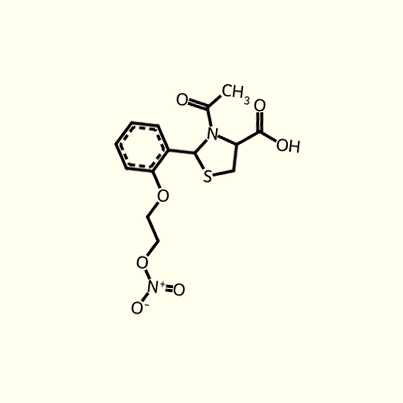 CC(=O)N1C(C(=O)O)CSC1c1ccccc1OCCO[N+](=O)[O-]